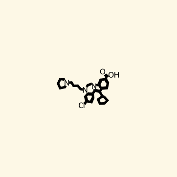 O=C(O)c1ccc2c(C3CCCCC3)c3n(c2c1)CCN(CCCCN1CCCCC1)c1cc(Cl)ccc1-3